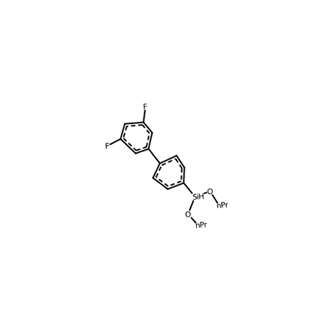 CCCO[SiH](OCCC)c1ccc(-c2cc(F)cc(F)c2)cc1